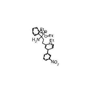 CCOP(=O)(OCC)C(N)(CCC1=CC(c2cccc([N+](=O)[O-])c2)C=CN1CC)c1ccccc1